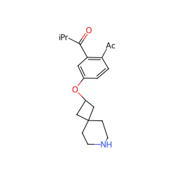 CC(=O)c1ccc(OC2CC3(CCNCC3)C2)cc1C(=O)C(C)C